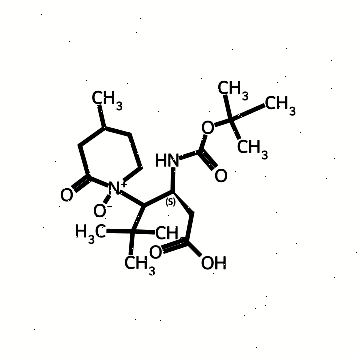 CC1CC[N+]([O-])(C([C@H](CC(=O)O)NC(=O)OC(C)(C)C)C(C)(C)C)C(=O)C1